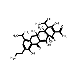 CCCc1cc(C(C)C)c2c(c1O)C(=O)C1=C(O)[C@@]3(O)C(=O)C(C(C)=O)=C(O)C(C(C)C)[C@@]3(C)C[C@@]1(C)C2